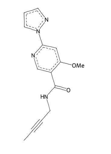 CC#CCNC(=O)c1cnc(-n2cccn2)cc1OC